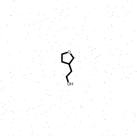 OCCC1[CH]OCC1